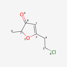 CC1OC(CCCl)=CC1=O